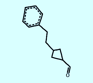 O=CC1CC(CCc2ccccc2)C1